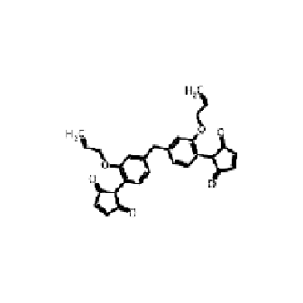 C=CCOc1cc(Cc2ccc(C3C(=O)C=CC3=O)c(OCC=C)c2)ccc1C1C(=O)C=CC1=O